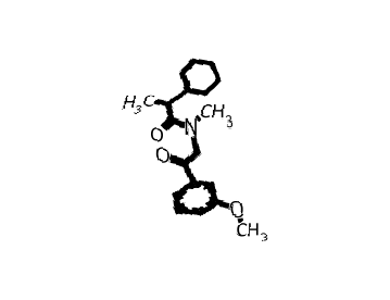 COc1cccc(C(=O)CN(C)C(=O)C(C)C2CCCCC2)c1